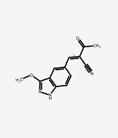 COc1n[nH]c2ccc(/C=C(\C#N)C(C)=O)cc12